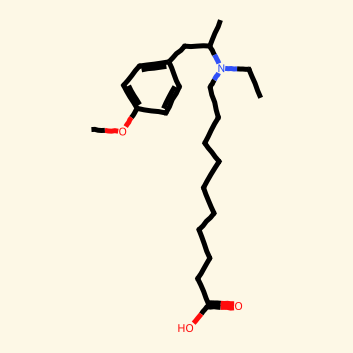 CCN(CCCCCCCCCC(=O)O)C(C)Cc1ccc(OC)cc1